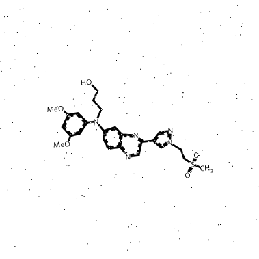 COc1cc(OC)cc(N(CCCO)c2ccc3ncc(-c4cnn(CCS(C)(=O)=O)c4)nc3c2)c1